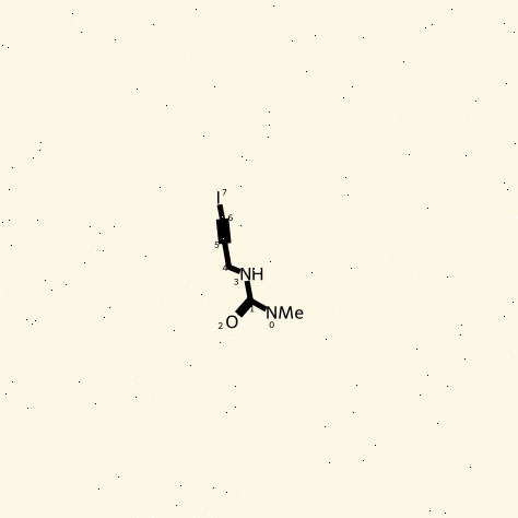 CNC(=O)NCC#CI